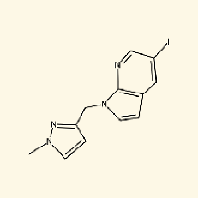 Cn1ccc(Cn2ccc3cc(I)cnc32)n1